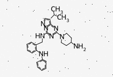 CC(C)c1cnn2c(NCc3ccccc3Nc3ccccc3)nc(N3CCC(N)CC3)nc12